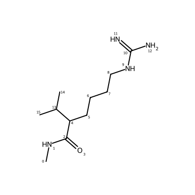 CNC(=O)C(CCCCNC(=N)N)C(C)C